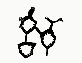 CC(=O)c1ccc(Cl)cc1-c1cc(=O)[nH]nc1-c1ccccc1